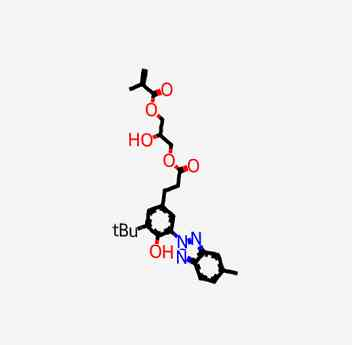 C=C(C)C(=O)OCC(O)COC(=O)CCc1cc(-n2nc3ccc(C)cc3n2)c(O)c(C(C)(C)C)c1